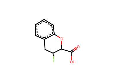 O=C(O)C1Oc2ccccc2CC1F